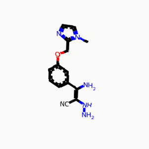 Cn1ccnc1COc1cccc(/C(N)=C(\C#N)NN)c1